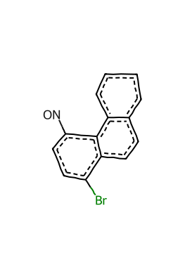 O=Nc1ccc(Br)c2ccc3ccccc3c12